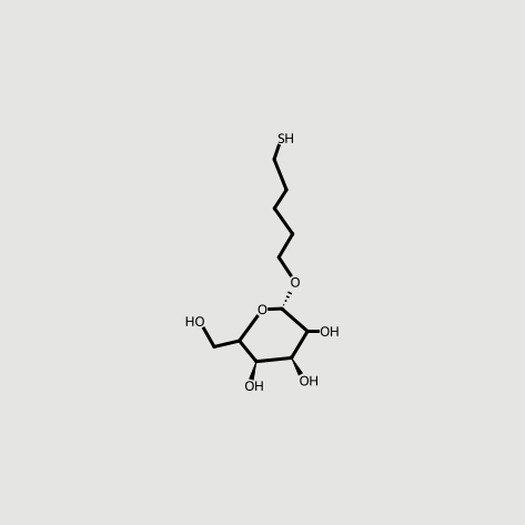 OCC1O[C@H](OCCCCCS)C(O)[C@@H](O)[C@H]1O